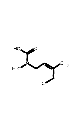 CC(=CCN(C)C(=O)O)CCl